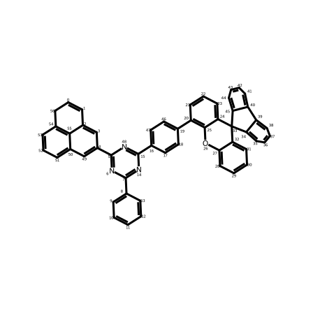 C1=Cc2cc(-c3nc(-c4ccccc4)nc(-c4ccc(-c5cccc6c5Oc5ccccc5C65c6ccccc6-c6ccccc65)cc4)n3)cc3cccc(c23)C1